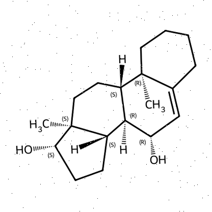 C[C@]12CC[C@H]3[C@@H]([C@@H](O)C=C4CCCC[C@@]43C)[C@@H]1CC[C@@H]2O